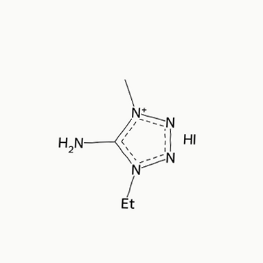 CCn1nn[n+](C)c1N.I